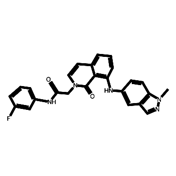 Cn1ncc2cc(Nc3cccc4ccn(CC(=O)Nc5cccc(F)c5)c(=O)c34)ccc21